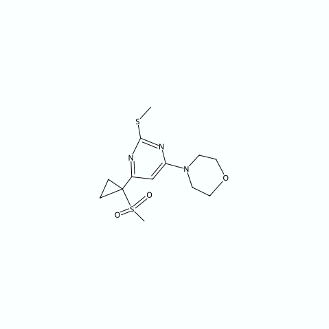 CSc1nc(N2CCOCC2)cc(C2(S(C)(=O)=O)CC2)n1